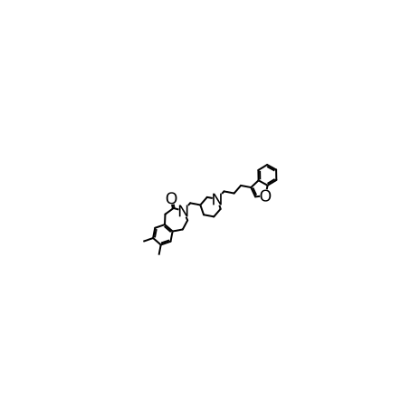 Cc1cc2c(cc1C)CC(=O)N(CC1CCCN(CCCc3coc4ccccc34)C1)CC2